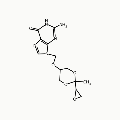 CC1(C2CO2)OCC(OCn2cnc3c(=O)[nH]c(N)nc32)CO1